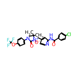 CC1(C)CN(c2ccc(OC(F)(F)F)cc2)C(=O)[N+]1([O-])Cc1ccnc(NC(=O)c2ccc(Cl)cc2)c1